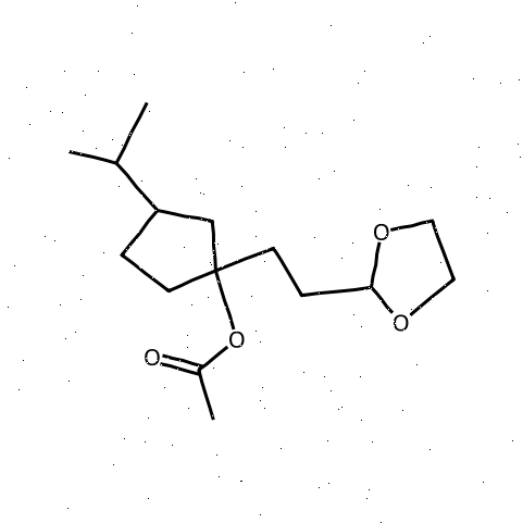 CC(=O)OC1(CCC2OCCO2)CCC(C(C)C)C1